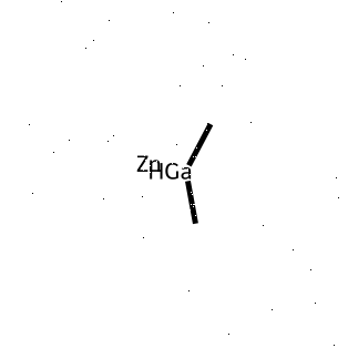 [CH3][GaH][CH3].[Zn]